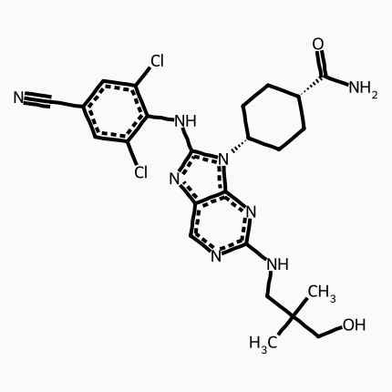 CC(C)(CO)CNc1ncc2nc(Nc3c(Cl)cc(C#N)cc3Cl)n([C@H]3CC[C@@H](C(N)=O)CC3)c2n1